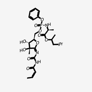 C/C=C\C(=O)NC(=O)/N=C1/O[C@H](CO[P@](=O)(N[C@@H](C)C(=O)OC(C)CC(C)C)Oc2ccccc2)[C@@H](O)[C@@]1(C)O